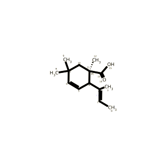 C/C=C(\C)C1C=CC(C)(C)C[C@@]1(C)C(=O)O